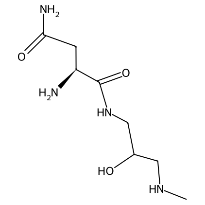 CNCC(O)CNC(=O)[C@@H](N)CC(N)=O